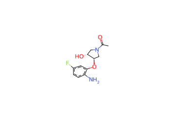 CC(=O)N1C[C@@H](O)[C@H](Oc2cc(F)ccc2N)C1